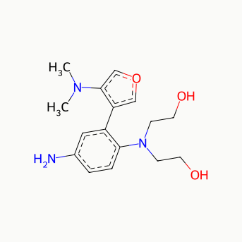 CN(C)c1cocc1-c1cc(N)ccc1N(CCO)CCO